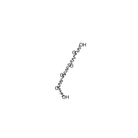 O=C(CSCSCSCC[S+]([O-])CSCSCSCSC(=O)CSCSCSCC[S+]([O-])CCSCSCO)SCCSCSCO